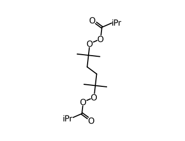 CC(C)C(=O)OOC(C)(C)CCC(C)(C)OOC(=O)C(C)C